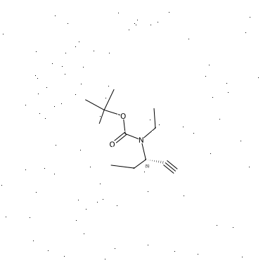 C#C[C@H](CC)N(CC)C(=O)OC(C)(C)C